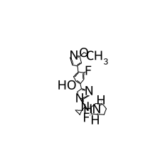 COc1cc(-c2cc(O)c(-c3cnc(N(C4CC4)[C@@H]4C[C@H]5CC[C@H](N5)[C@@H]4F)cn3)cc2F)ccn1